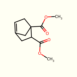 COC(=O)C1CC2=CCC1(C(=O)OC)C2